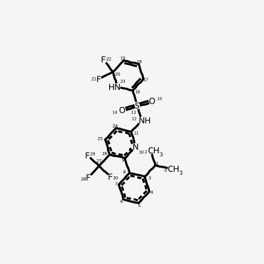 CC(C)c1ccccc1-c1nc(NS(=O)(=O)C2=CC=CC(F)(F)N2)ccc1C(F)(F)F